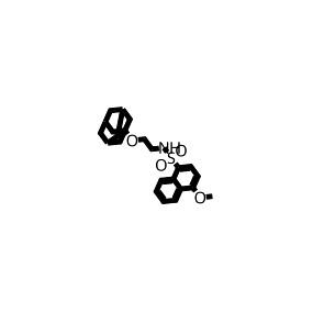 COc1ccc(S(=O)(=O)NCCOC23CC4CC(CC(C4)C2)C3)c2ccccc12